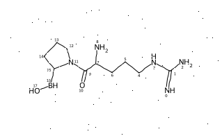 N=C(N)NCCCC(N)C(=O)N1CCCC1BO